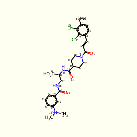 CSc1ccc(/C=C/C(=O)N2CCC(C(=O)N[C@@H](CNC(=O)c3cccc(N(C)C)c3)C(=O)O)CC2)c(Cl)c1Cl